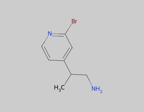 CC(CN)c1ccnc(Br)c1